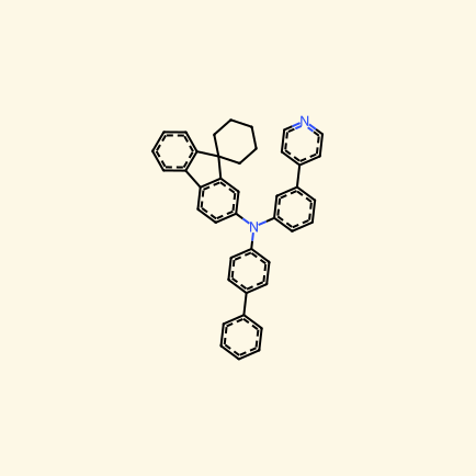 c1ccc(-c2ccc(N(c3cccc(-c4ccncc4)c3)c3ccc4c(c3)C3(CCCCC3)c3ccccc3-4)cc2)cc1